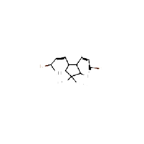 C=C(Br)/C=C\C1C(/C=C\C(C)Br)CC(CCCCCCCC)(CCCCCCCC)C1C